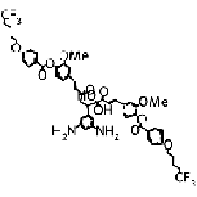 COc1cc(C=CC(=O)CC(c2cc(N)cc(N)c2)C(O)(O)C(=O)C=Cc2ccc(OC(=O)c3ccc(OCCCCC(F)(F)F)cc3)c(OC)c2)ccc1OC(=O)c1ccc(OCCCCC(F)(F)F)cc1